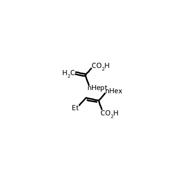 C=C(CCCCCCC)C(=O)O.CCC=C(CCCCCC)C(=O)O